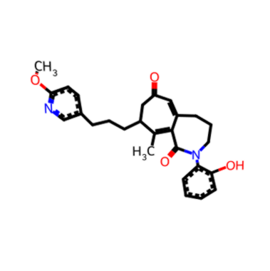 COc1ccc(CCCC2CC(=O)C=C3CCCN(c4ccccc4O)C(=O)C3=C2C)cn1